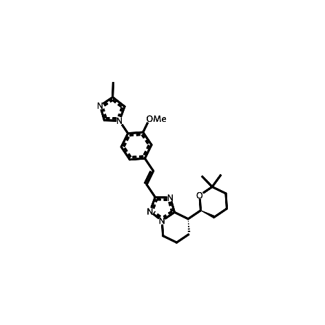 COc1cc(/C=C/c2nc3n(n2)CCC[C@H]3[C@@H]2CCCC(C)(C)O2)ccc1-n1cnc(C)c1